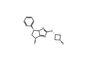 F[C@H]1C[C@@H](c2ccccc2)n2nc(S[C@H]3C[C@H](F)C3)nc21